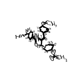 COc1ccc(CC(NC(=O)c2ccc(C(=N)N)cc2)C(=O)N2CCC(OC(C)=O)CC2)cc1